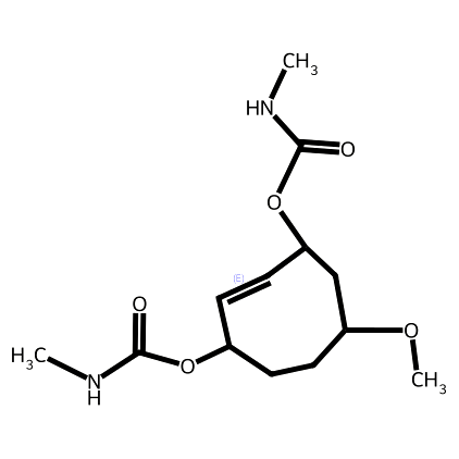 CNC(=O)OC1/C=C/C(OC(=O)NC)CC(OC)CC1